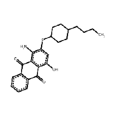 CCCCC1CCC(Sc2cc(O)c3c(c2N)C(=O)c2ccccc2C3=O)CC1